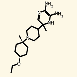 CCO[C@H]1CC[C@](C)(N2CCC(C3(C)C=NC(N)=C(N)N3)CC2)CC1